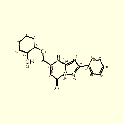 O=c1cc(COC2CCCCC2O)[nH]c2nc(-c3ccccc3)nn12